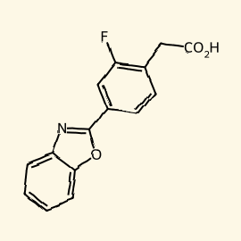 O=C(O)Cc1ccc(-c2nc3ccccc3o2)cc1F